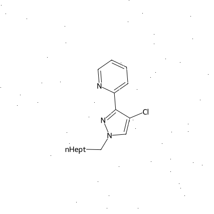 CCCCCCCCn1cc(Cl)c(-c2ccccn2)n1